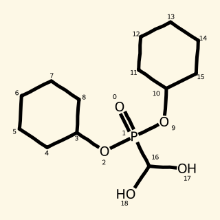 O=P(OC1CCCCC1)(OC1CCCCC1)C(O)O